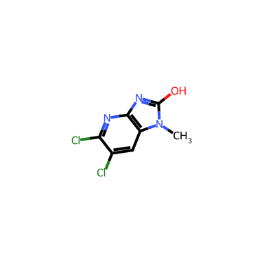 Cn1c(O)nc2nc(Cl)c(Cl)cc21